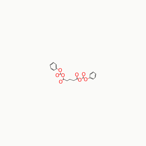 O=C(CCCC(=O)OC(=O)Oc1ccccc1)OC(=O)Oc1ccccc1